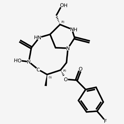 C=C1NC2CN(C[C@H](OC(=O)c3ccc(F)cc3)[C@@H](C)CN1O)C(=C)N[C@H]2CO